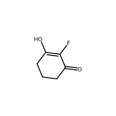 O=C1CCCC(O)=C1F